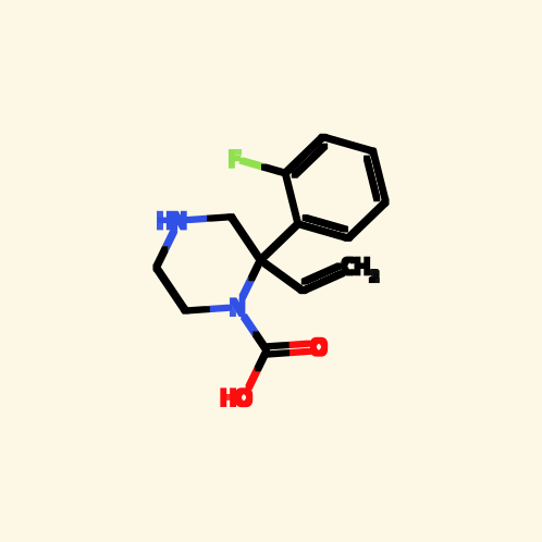 C=CC1(c2ccccc2F)CNCCN1C(=O)O